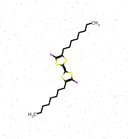 CCCCCCCCC1=C(I)S/C(=C2/SC(I)=C(CCCCCCCC)S2)S1